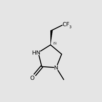 CN1C[C@H](CC(F)(F)F)NC1=O